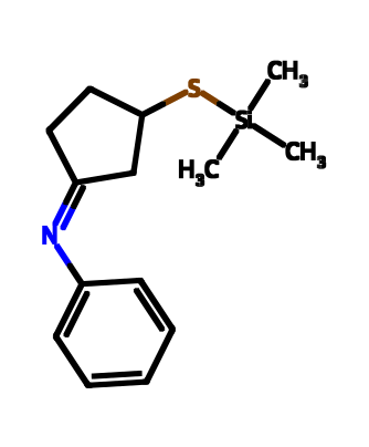 C[Si](C)(C)SC1CCC(=Nc2ccccc2)C1